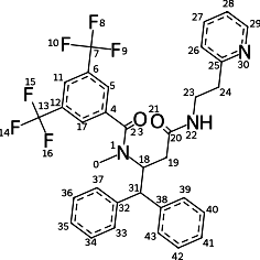 CN(C(=O)c1cc(C(F)(F)F)cc(C(F)(F)F)c1)C(CC(=O)NCCc1ccccn1)C(c1ccccc1)c1ccccc1